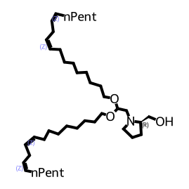 CCCCC/C=C\C/C=C\CCCCCCCCOC(CN1CCC[C@@H]1CO)OCCCCCCCC/C=C\C/C=C\CCCCC